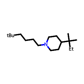 CCC(C)(C)C1CCN(CCCCC(C)(C)C)CC1